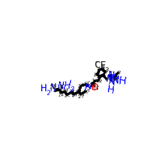 CC1=NN(Cc2cc(C(F)(F)F)ccc2CCC(=O)N2CCC(CCCCC/C(N)=C/N)CC2)NN1